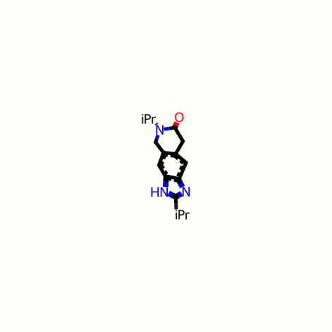 CC(C)c1nc2cc3c(cc2[nH]1)CN(C(C)C)C(=O)C3